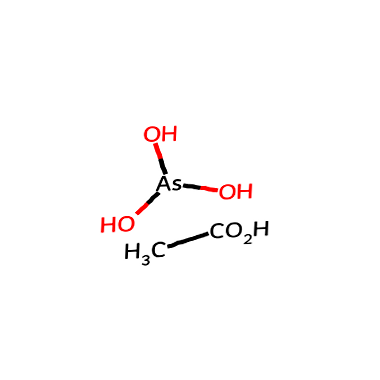 CC(=O)O.O[As](O)O